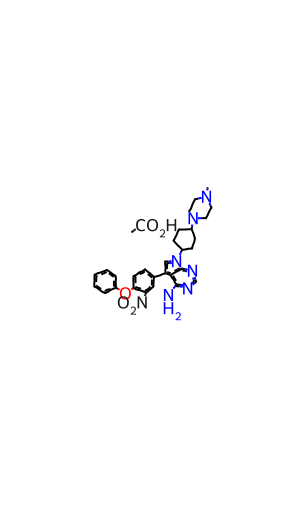 CC(=O)O.CN1CCN(C2CCC(n3cc(-c4ccc(Oc5ccccc5)c([N+](=O)[O-])c4)c4c(N)ncnc43)CC2)CC1